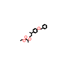 CCOC(=O)C(C)OCCC(C)c1ccc(OCc2ccccc2)cc1